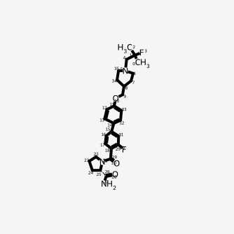 CC(C)(F)CN1CCC(COc2ccc(-c3ccc(C(=O)N4CCC[C@H]4C(N)=O)c(F)c3)cc2)CC1